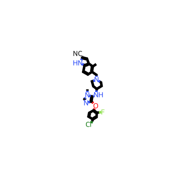 Cc1c(CN2CCC(Nc3c(Oc4ccc(Cl)cc4F)ncn3C)CC2)ccc2[nH]c(C#N)cc12